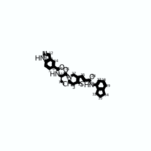 CC[C@@H](NC(=O)c1ccc2[nH]ncc2c1)C(=O)N1CCc2sc(C(=O)Nc3cccc4c3CCC4)cc2C1